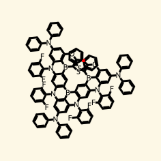 Fc1cccc(F)c1N1c2cc3c(cc2B2c4sc5ccccc5c4Oc4cc(N(c5ccccc5)c5ccccc5)cc1c42)B1c2cc4c(cc2N(c2c(F)cccc2F)c2cc(N(c5ccccc5)c5ccccc5)cc(c21)N3c1c(F)cccc1F)N(c1c(F)cccc1F)c1cc(N(c2ccccc2)c2ccccc2)cc2c1B4c1sc3ccccc3c1O2